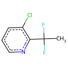 CC(F)(F)c1ncccc1Cl